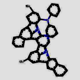 CC(C)(C)c1cc(N(c2ccccc2)c2ccccc2)c2c(c1)c1cc3ccccc3c3c4c5c6cc(C(C)(C)C)cc7c8cc9ccccc9cc8n(c5cnc4n2c13)c76